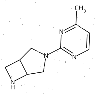 Cc1ccnc(N2CC3CNC3C2)n1